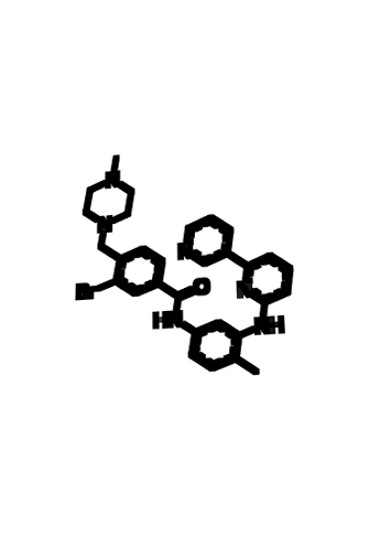 Cc1ccc(NC(=O)c2ccc(CN3CCN(C)CC3)c(Br)c2)cc1Nc1cccc(-c2cccnc2)n1